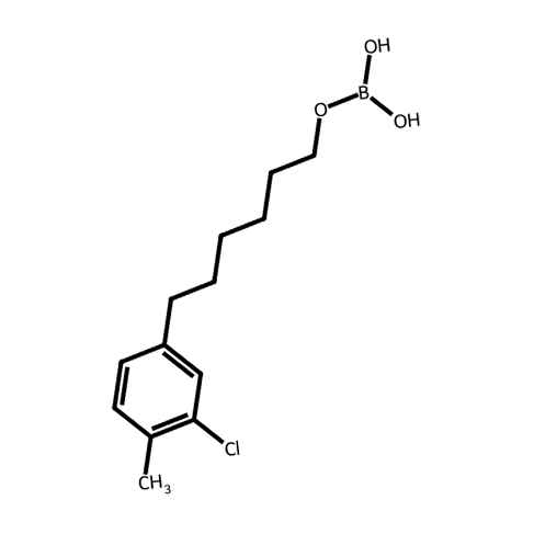 Cc1ccc(CCCCCCOB(O)O)cc1Cl